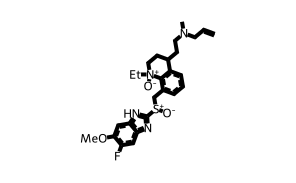 C=CCN(C)CCC1CC[N+]([O-])(CC)c2c(C[S+]([O-])c3nc4cc(F)c(OC)cc4[nH]3)cccc21